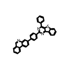 c1ccc(-c2nc(-c3ccc(-c4ccc5c(c4)ncc4ccccc45)cc3)nc3c2sc2ccccc23)cc1